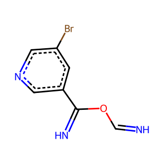 N=COC(=N)c1cncc(Br)c1